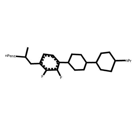 CCCCCC(C)Cc1ccc(C2CCC(C3CCC(CCC)CC3)CC2)c(F)c1F